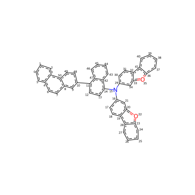 c1ccc2c(c1)ccc1cc(-c3ccc(N(c4ccc5c(c4)oc4ccccc45)c4ccc5c(c4)oc4ccccc45)c4ccccc34)ccc12